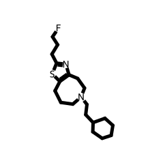 FCCCc1nc2c(s1)CCCN(CCC1CCCCC1)CC2